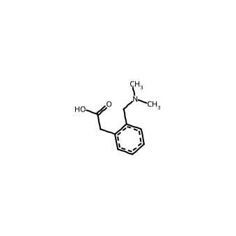 CN(C)Cc1ccccc1CC(=O)O